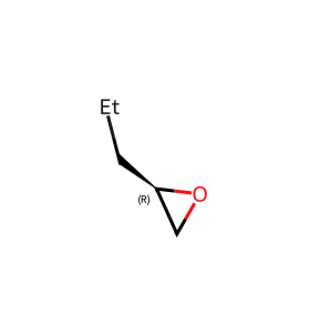 CCC[C@@H]1CO1